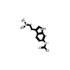 CCC(=O)Oc1ccc2c(CCN(C(C)C)C(C)C)c[nH]c2c1